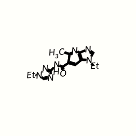 CCn1cnc(NC(=O)c2cc3c(ncn3CC)nc2C)n1